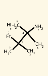 CCC(C)(C)C(C)(C)N.I